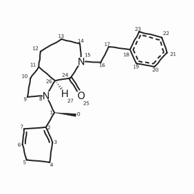 C[C@@H](C1=CCCC=C1)N1CCC2CCCN(CCc3ccccc3)C(=O)[C@H]21